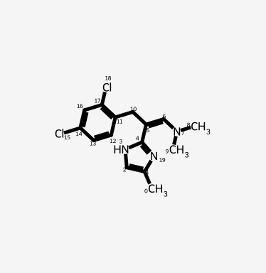 Cc1c[nH]c(C(=CN(C)C)Cc2ccc(Cl)cc2Cl)n1